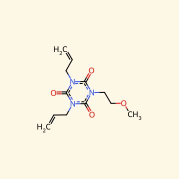 C=CCn1c(=O)n(CC=C)c(=O)n(CCOC)c1=O